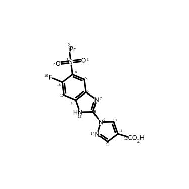 CC(C)S(=O)(=O)c1cc2nc(-n3cc(C(=O)O)cn3)[nH]c2cc1F